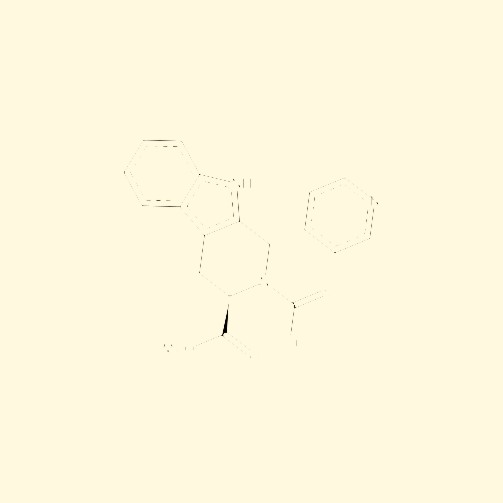 CCC(=O)N1[C@@H](c2ccncc2)c2[nH]c3ccccc3c2C[C@@H]1C(=O)OC